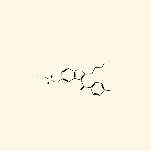 CCCCc1oc2ccc(NS(C)(=O)=O)cc2c1C(=O)c1ccc(F)cc1